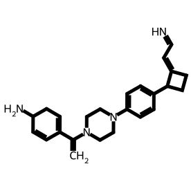 C=C(C1=CCC(N)C=C1)N1CCN(c2ccc(C3CC/C3=C\C=N)cc2)CC1